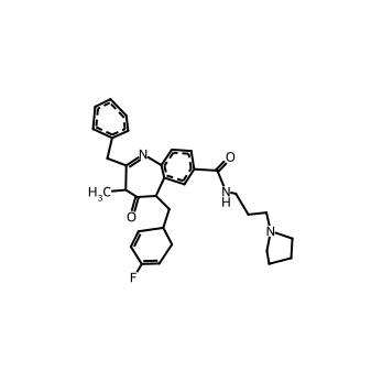 CC1C(=O)C(CC2C=CC(F)=CC2)c2cc(C(=O)NCCCN3CCCC3)ccc2N=C1Cc1ccccc1